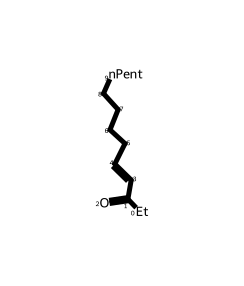 [CH2]CC(=O)C=CCCCCCCCCC